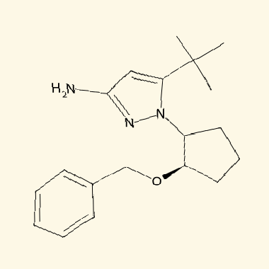 CC(C)(C)c1cc(N)nn1C1CCC[C@H]1OCc1ccccc1